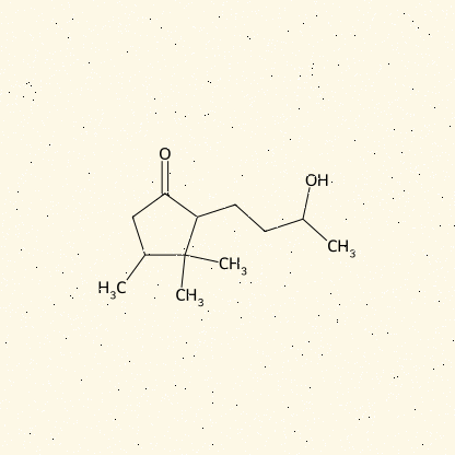 CC(O)CCC1C(=O)CC(C)C1(C)C